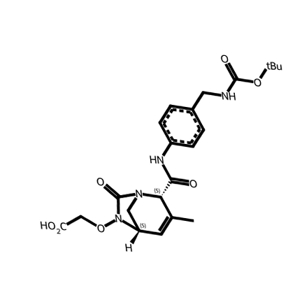 CC1=C[C@H]2CN(C(=O)N2OCC(=O)O)[C@@H]1C(=O)Nc1ccc(CNC(=O)OC(C)(C)C)cc1